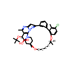 Cc1nc2cc3nn2c(c1[C@H](OC(C)(C)C)C(=O)O)N1CCC(C)(CC1)OCCCC[C@H](C)Oc1ccc(Cl)c(C)c1-c1cccc-3c1